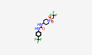 O=C(Nc1ccc(C(F)(F)F)cc1)NC1CCN(S(=O)(=O)CC(F)(F)F)CC1